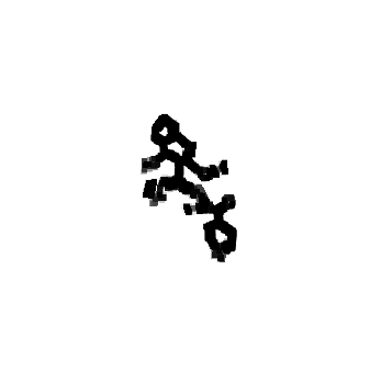 CC(=NNC(=O)c1ccncc1)c1c(O)nc2ccccc2c1O